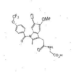 COc1cc2c(CC(=O)NCC(=O)O)c(C)n(C(=O)c3ccc(OC(F)(F)F)cc3)c2cc1Cl